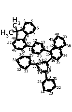 CC1(C)c2ccccc2-c2c(-c3ccc(-c4c(-c5nc(-c6ccccc6)nc(-c6ccccc6)n5)ccc5ccccc45)cc3)cccc21